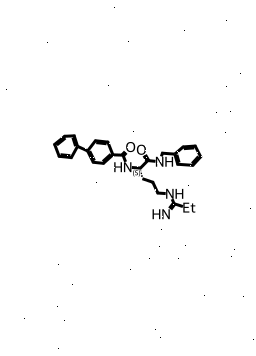 CCC(=N)NCCC[C@H](NC(=O)c1ccc(-c2ccccc2)cc1)C(=O)NCc1ccccc1